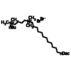 CCCCCCCCCCCCCCCCCCCCCC[N+](C)(C)CCCC[N+](C)(C)CCCC.[Br-].[Br-]